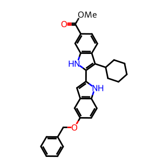 COC(=O)c1ccc2c(C3CCCCC3)c(-c3cc4cc(OCc5ccccc5)ccc4[nH]3)[nH]c2c1